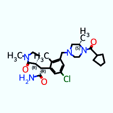 Cc1c(CN2CCN(C(=O)C3CCCC3)[C@@H](C)C2)cc(Cl)cc1[C@H](C(N)=O)[C@H]1CCN(C)C1=O